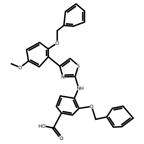 COc1ccc(OCc2ccccc2)c(-c2csc(Nc3ccc(C(=O)O)cc3OCc3ccccc3)n2)c1